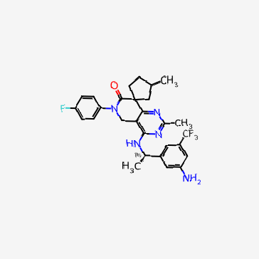 Cc1nc(N[C@H](C)c2cc(N)cc(C(F)(F)F)c2)c2c(n1)C1(CCC(C)C1)C(=O)N(c1ccc(F)cc1)C2